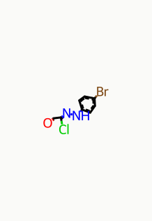 O=CC(Cl)=NNc1ccc(Br)cc1